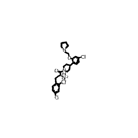 N[C@H](Cc1ccc(Cl)cc1Cl)C(=O)N1CCC(c2ccc(Cl)cc2OCCN2CCCC2)CC1